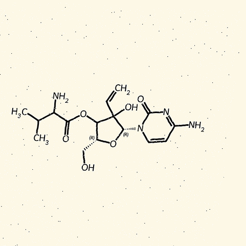 C=CC1(O)C(OC(=O)C(N)C(C)C)[C@@H](CO)O[C@H]1n1ccc(N)nc1=O